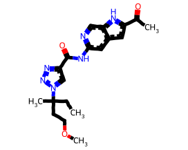 CCC(C)(CCOC)n1cc(C(=O)Nc2cc3cc(C(C)=O)[nH]c3cn2)nn1